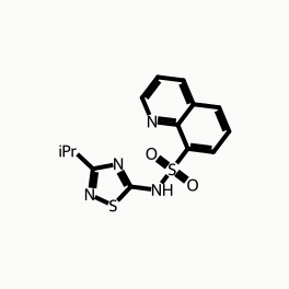 CC(C)c1nsc(NS(=O)(=O)c2cccc3cccnc23)n1